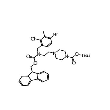 Cc1c(Br)ccc(CN(CCN2CCN(C(=O)OC(C)(C)C)CC2)C(=O)OCC2c3ccccc3-c3ccccc32)c1Cl